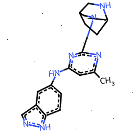 Cc1cc(Nc2ccc3[nH]ncc3c2)nc(N2CC3CCC(C2)NC3)n1